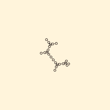 c1ccc(-c2ccc(N(c3ccc(-c4ccccc4)cc3)c3ccc(-c4ccc(N(c5ccc(-c6ccccc6)cc5)c5ccc(-c6ccc(-c7ccc(-c8ccc(N(c9ccc(-c%10ccccc%10)cc9)c9ccc(-c%10ccc(N(c%11ccccc%11)c%11cccc%12ccccc%11%12)cc%10)cc9)cc8)cc7)cc6)cc5)cc4)cc3)cc2)cc1